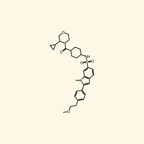 COCCc1ccc(-c2cc3ccc(S(=O)(=O)NC4CCC(C(=O)N5CCOCC5C5CC5)CC4)cc3n2C)cc1